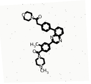 Cc1cc(-c2cnc3cccc(-c4ccc(CC(=O)N5CCOCC5)cc4)c3n2)ccc1C(=O)N1CCN(C)CC1